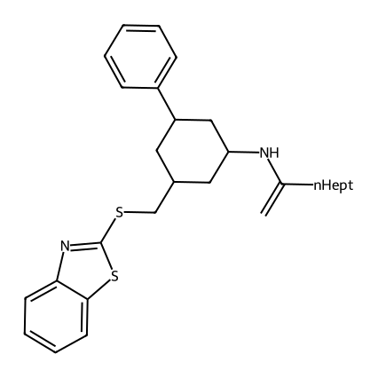 C=C(CCCCCCC)NC1CC(CSc2nc3ccccc3s2)CC(c2ccccc2)C1